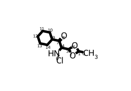 CC1OC(C(NCl)C(=O)C2CCCCC2)O1